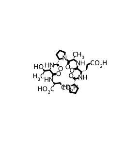 C[C@H](NC(=O)[C@H](CCC(=O)O)NC(=O)[C@@H]1CCCN1)C(=O)N1CCC[C@H]1C(=O)N[C@H](C(=O)N[C@@H](CC(=O)O)C(=O)O)[C@@H](C)O